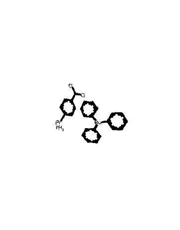 CC(C)c1ccc(C(Cl)Cl)cc1.P.c1cc[c]([Ru]([c]2ccccc2)[c]2ccccc2)cc1